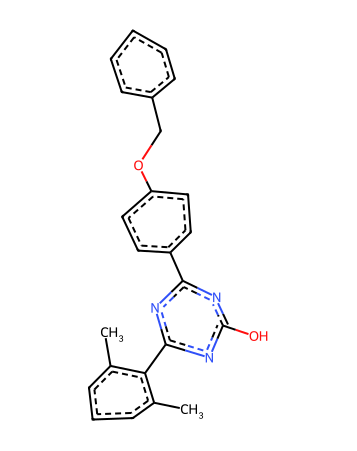 Cc1cccc(C)c1-c1nc(O)nc(-c2ccc(OCc3ccccc3)cc2)n1